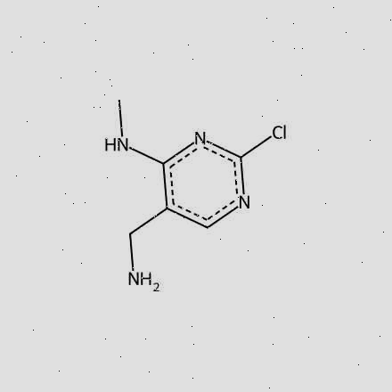 CNc1nc(Cl)ncc1CN